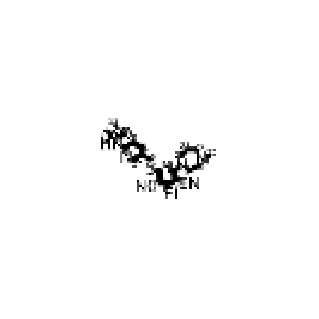 CCc1c(C#N)c(SCc2ccc(NS(C)(=O)=O)nc2)nc(N2CCCN(C)CC2)c1C#N